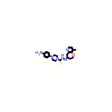 Cc1ccnc2c1OCC/C(=N/NC(=S)N1CCN(c3ccc(N)cc3)CC1)C2